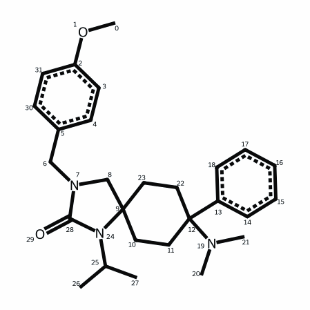 COc1ccc(CN2CC3(CCC(c4ccccc4)(N(C)C)CC3)N(C(C)C)C2=O)cc1